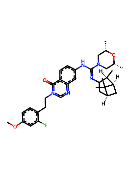 COc1ccc(CCn2cnc3cc(NC(=NC4C[C@@H]5C[C@H]([C@@H]4C)C5(C)C)N4C[C@@H](C)O[C@@H](C)C4)ccc3c2=O)c(F)c1